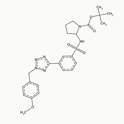 COc1ccc(Cn2nnc(-c3cccc(S(=O)(=O)NC4CCCN4C(=O)OC(C)(C)C)c3)n2)cc1